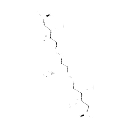 O=S([O-])C[C@H](O)[C@@H](O)CSSCCSSC[C@H](O)[C@@H](O)CS(=O)[O-].[Na+].[Na+]